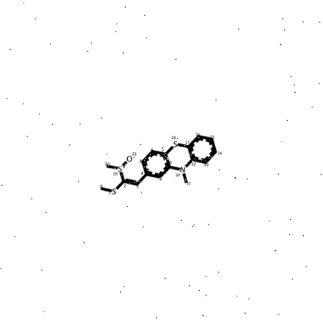 CSC(=Cc1ccc2c(c1)N(C)c1ccccc1S2)[S+](C)[O-]